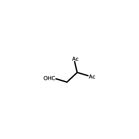 CC(=O)C(CC=O)C(C)=O